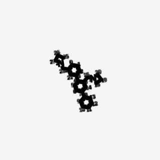 [c]1ccc(-c2ccc(-c3ccccc3)cc2CN2CCC2)cc1CN1CCC1